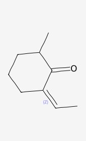 C/C=C1/CCCC(C)C1=O